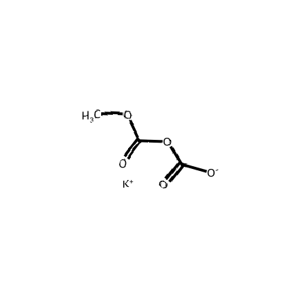 COC(=O)OC(=O)[O-].[K+]